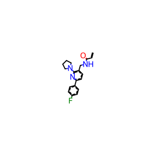 C=CC(=O)NCc1ccc(-c2ccc(F)cc2)nc1N1CCCC1